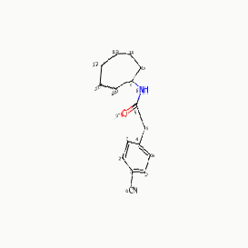 N#Cc1ccc(CC(=O)NC2CCCCCC2)cc1